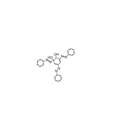 OC1C(N=Nc2ccccc2)=CC(N=Nc2ccccc2)=CC1(O)N=Nc1ccccc1